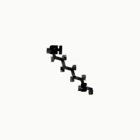 CSCCCCCCS